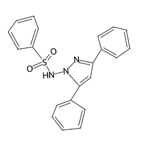 O=S(=O)(Nn1nc(-c2ccccc2)cc1-c1ccccc1)c1ccccc1